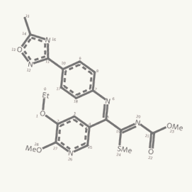 CCOc1cc(C(=N\c2ccc(-c3noc(C)n3)cc2)/C(=N/C(=O)OC)SC)cnc1OC